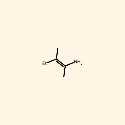 CC/C(C)=C(\C)N